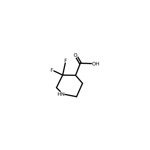 O=C(O)C1CCNCC1(F)F